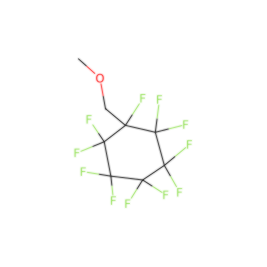 COCC1(F)C(F)(F)C(F)(F)C(F)(F)C(F)(F)C1(F)F